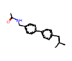 CC(=O)NCc1ccc(-c2ccc(CC(C)C)cc2)cc1